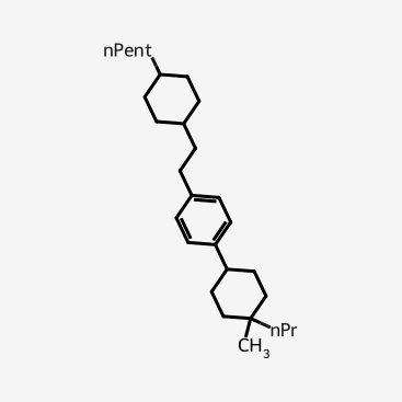 CCCCCC1CCC(CCc2ccc(C3CCC(C)(CCC)CC3)cc2)CC1